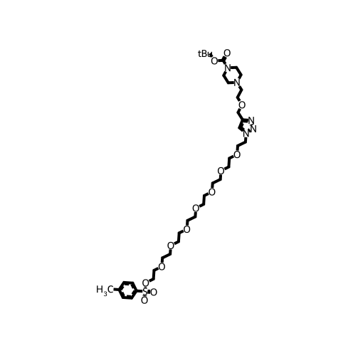 Cc1ccc(S(=O)(=O)OCCOCCOCCOCCOCCOCCOCCOCCn2cc(COCCN3CCN(C(=O)OC(C)(C)C)CC3)nn2)cc1